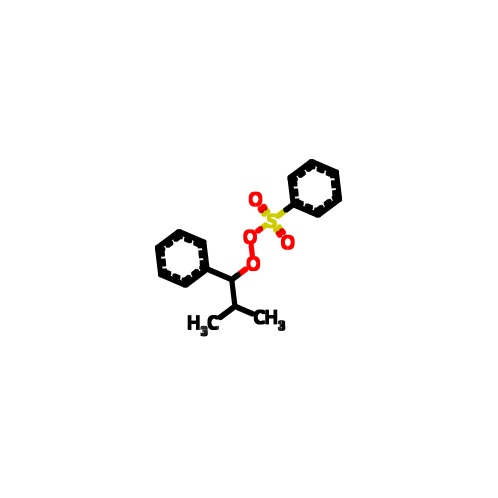 CC(C)C(OOS(=O)(=O)c1ccccc1)c1ccccc1